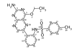 CCOc1nc(N)nc2ncc(-c3ccccc3NS(=O)(=O)c3ccc(C)cc3)nc12